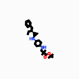 CC/C(=C\c1ccccc1)[C@@H]1C[C@H]1N[C@H]1CC[C@H](NCC(C)(C)C(=O)OC(C)(C)C)CC1